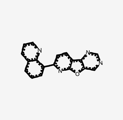 c1cnc2c(-c3ccc4c(n3)oc3cncnc34)cccc2c1